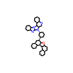 c1cc(-c2cc3ccccc3c3c2oc2ccc4ccccc4c23)cc(-n2c3cnc4ccccc4c3n3c4ccccc4nc23)c1